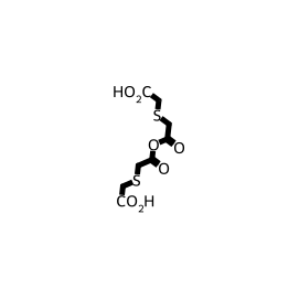 O=C(O)CSCC(=O)OC(=O)CSCC(=O)O